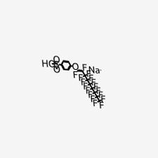 O=S(=O)(O)c1ccc(OC(F)=C(F)C(F)(F)C(F)(F)C(F)(F)C(F)(F)C(F)(F)C(F)(F)C(F)(F)F)cc1.[Na]